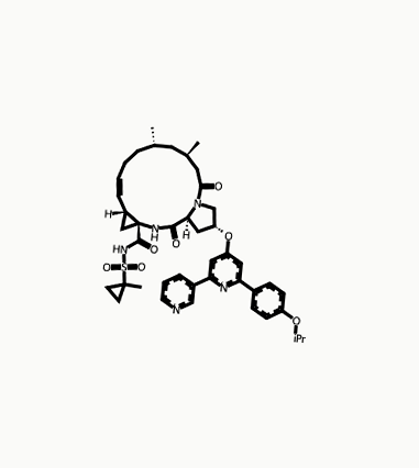 CC(C)Oc1ccc(-c2cc(O[C@@H]3C[C@H]4C(=O)N[C@]5(C(=O)NS(=O)(=O)C6(C)CC6)C[C@@H]5/C=C\CC[C@H](C)C[C@@H](C)CC(=O)N4C3)cc(-c3cccnc3)n2)cc1